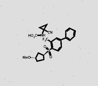 CO[C@H]1CC[C@H](S(=O)(=O)c2ccc(-c3ccccc3)cc2C(F)(F)F)C1.N#CC1(NC(=O)O)CC1